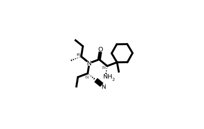 CC[C@@H](C)N(C(=O)[C@@H](N)C1(C)CCCCC1)[C@H](C#N)CC